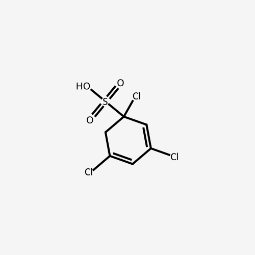 O=S(=O)(O)C1(Cl)C=C(Cl)C=C(Cl)C1